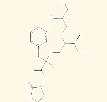 CC[C@H](C)C(COC(C)(Cc1ccccc1)C(=O)N[C@@H]1CCOC1=O)NCC(N)CS